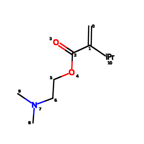 C=C(C(=O)OCCN(C)C)C(C)C